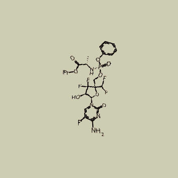 CC(C)OC(=O)[C@H](C)N[P@](=O)(OC[C@@]1(C(F)F)O[C@@H](n2cc(F)c(N)nc2=O)[C@@H](O)C1(F)F)Oc1ccccc1